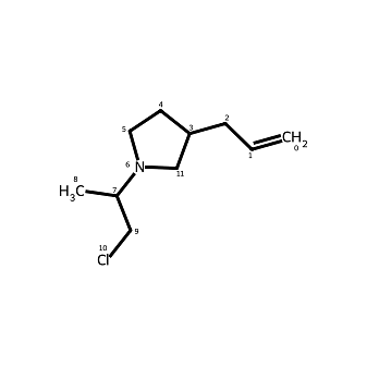 C=CCC1CCN(C(C)CCl)C1